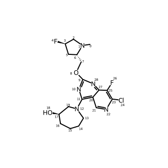 CN1C[C@H](F)C[C@H]1COc1nc(N2CCCC[C@@H](O)C2)c2cnc(Cl)c(F)c2n1